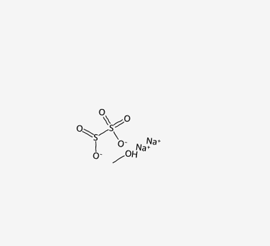 CO.O=S([O-])S(=O)(=O)[O-].[Na+].[Na+]